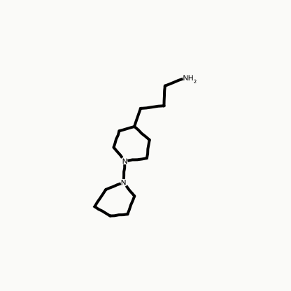 NCCCC1CCN(N2CCCCC2)CC1